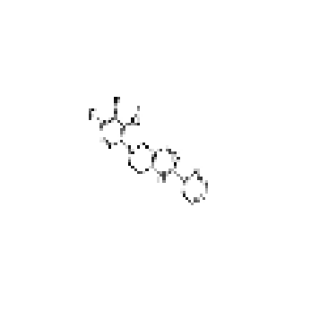 COc1c(N2CCc3nc(-c4ccccn4)ncc3C2)ccc(F)c1F